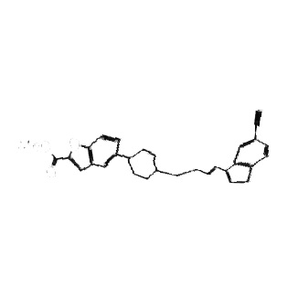 C#Cc1ccc2c(c1)C(/C=C/CCC1CCC(c3ccc4oc(C(=O)OC)cc4c3)CC1)=CC2